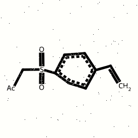 C=Cc1ccc(S(=O)(=O)CC(C)=O)cc1